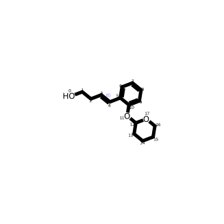 OCC/C=C/c1ccccc1OC1CCCCO1